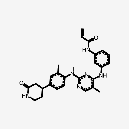 C=CC(=O)Nc1cccc(Nc2nc(Nc3ccc(C4CCNC(=O)C4)cc3C)ncc2C)c1